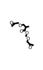 CC(COCC1CO1)C(=O)OCOCC1CO1